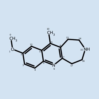 COc1ccc2nc3c(c(C)c2c1)CCNCC3